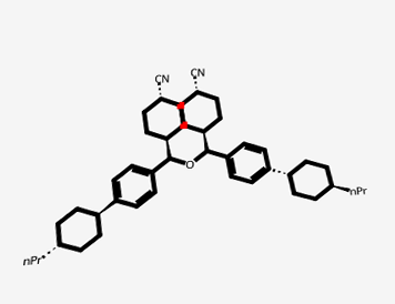 CCC[C@H]1CC[C@H](c2ccc(C(OC(c3ccc([C@H]4CC[C@H](CCC)CC4)cc3)[C@H]3CC[C@H](C#N)CC3)[C@H]3CC[C@H](C#N)CC3)cc2)CC1